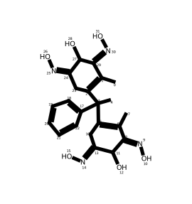 CC1=C(C(C)(C2=C(C)C(=NO)C(O)C(=NO)C2)c2ccccc2)CC(=NO)C(O)C1=NO